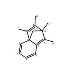 CC1=C(C)C23C=CC=CC2=C(C)C1(C)C3